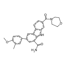 COc1ccc(-c2cc(C(N)=O)c3[nH]c4cc(C(=O)N5CCOCC5)ccc4c3c2)cc1C